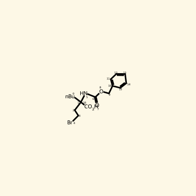 CCCCC(CCBr)(NC(=O)OCc1ccccc1)C(=O)O